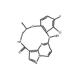 CC1CNC(=O)c2cnn3ccc(nc23)N(C(C)C)c2c(ccc(F)c2Cl)O1